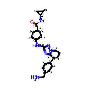 NCc1ccc(-c2cccn3nc(Nc4ccc(C(=O)NC5CC5)cc4)nc23)cc1